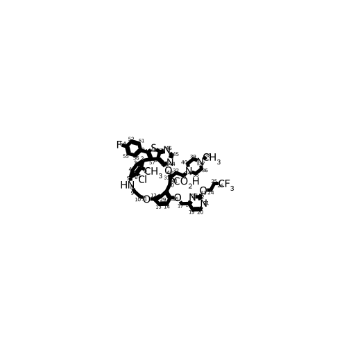 Cc1c2ccc(c1Cl)NCCOc1ccc(OCc3ccnc(OCCC(F)(F)F)n3)c(c1)C[C@@](CCN1CCN(C)CC1)(C(=O)O)Oc1ncnc3sc(-c4ccc(F)cc4)c-2c13